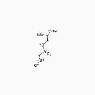 CCCCCCC(CCCC)COC(=O)CNCl